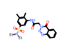 CCN(CC)S(=O)(=O)c1cc(C)c(C)c(NC(=O)Cn2nnc3ccccc3c2=O)c1